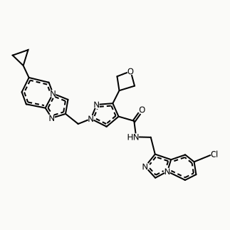 O=C(NCc1ncn2ccc(Cl)cc12)c1cn(Cc2cn3cc(C4CC4)ccc3n2)nc1C1COC1